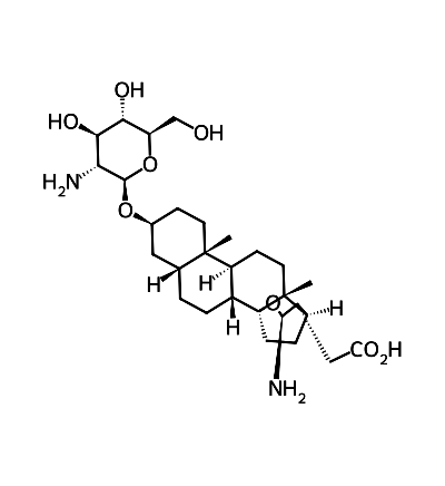 C[C@]12CC[C@H](O[C@@H]3O[C@H](CO)[C@@H](O)[C@H](O)[C@H]3N)C[C@H]1CC[C@@H]1[C@@H]2CC[C@]2(C)[C@@H]3CC[C@]12O[C@H](N)[C@@H]3CC(=O)O